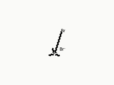 CCCC[P+](CCCC)(CCCC)CCCCCCCCCCCCCCCCBr.[Br-]